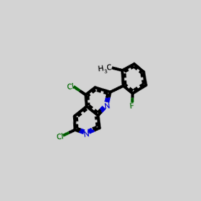 Cc1cccc(F)c1-c1cc(Cl)c2cc(Cl)ncc2n1